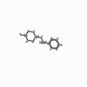 CN1CCN(CNc2ccccc2)CC1